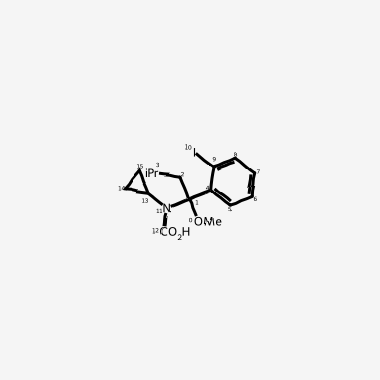 COC(CC(C)C)(c1ccccc1I)N(C(=O)O)C1CC1